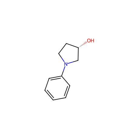 O[C@H]1CCN(c2ccccc2)C1